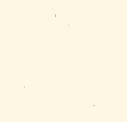 CNCc1ccc(Cl)cc1Oc1ccc2c(c1)OCCS2.O=CO